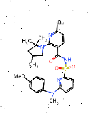 COc1ccc(N(C)c2cccc(S(=O)(=O)NC(=O)c3ccc(C(C)(C)C)nc3N3CC(C)CC3(C)C)n2)cc1